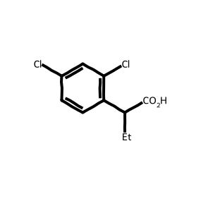 CCC(C(=O)O)c1ccc(Cl)cc1Cl